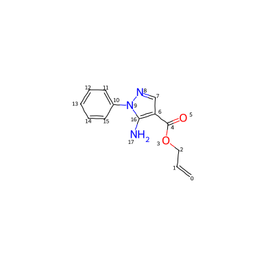 C=CCOC(=O)c1cnn(-c2ccccc2)c1N